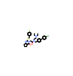 CCN(CC)CCN(Cc1ccc(-c2ccc(Cl)cc2)cc1)C(=O)Cn1c(SCc2ccc(F)cc2)nc2c(c1=O)CCC2